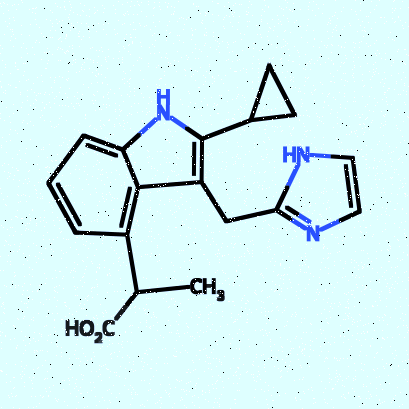 CC(C(=O)O)c1cccc2[nH]c(C3CC3)c(Cc3ncc[nH]3)c12